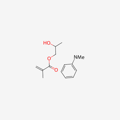 C=C(C)C(=O)OCC(C)O.CNc1ccccc1